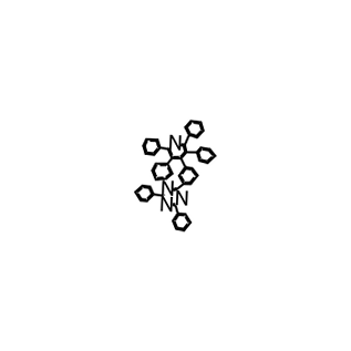 c1ccc(-c2nc(-c3ccccc3)nc(-c3cccc(-c4c(-c5ccccc5)c(-c5ccccc5)nc(-c5ccccc5)c4-c4ccccc4)c3)n2)cc1